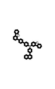 c1ccc2c(-c3ccc(N(c4ccc(-c5ccc(-c6cccc7c6oc6ccccc67)cc5)cc4)c4ccc5oc6ccccc6c5c4)cc3)cccc2c1